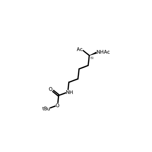 CC(=O)N[C@@H](CCCCNC(=O)OC(C)(C)C)C(C)=O